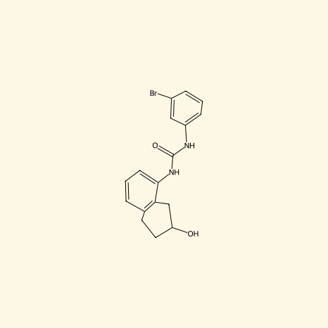 O=C(Nc1cccc(Br)c1)Nc1cccc2c1CC(O)CC2